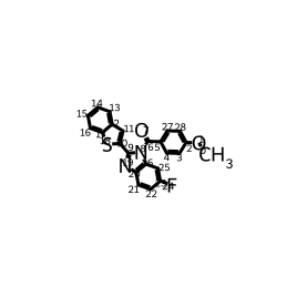 COc1ccc(C(=O)n2c(-c3cc4ccccc4s3)nc3ccc(F)cc32)cc1